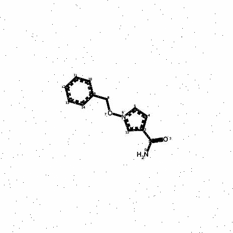 NC(=O)c1ccn(OCc2ccccc2)c1